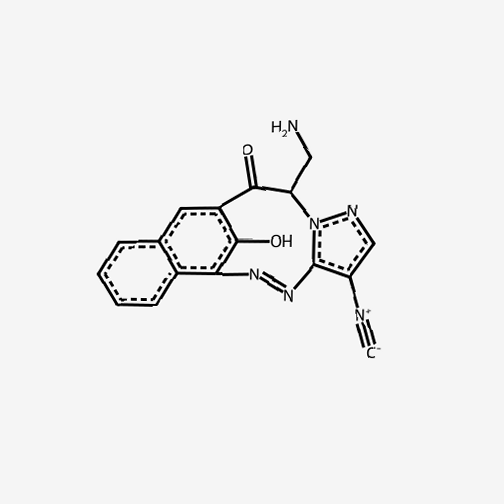 [C-]#[N+]c1cnn2c1/N=N/c1c(O)c(cc3ccccc13)C(=O)C2CN